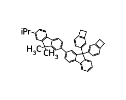 CC(C)c1ccc2c(c1)C(C)(C)c1cc(-c3ccc4c(c3)C(c3ccc5c(c3)CC5)(c3ccc5c(c3)CC5)c3ccccc3-4)ccc1-2